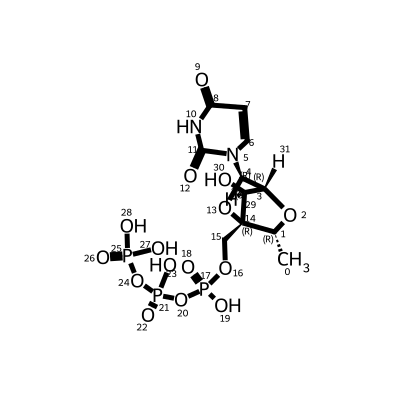 C[C@H]1O[C@H]2[C@H](n3ccc(=O)[nH]c3=O)O[C@]1(COP(=O)(O)OP(=O)(O)OP(=O)(O)O)[C@H]2O